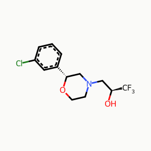 O[C@@H](CN1CCO[C@H](c2cccc(Cl)c2)C1)C(F)(F)F